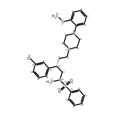 COc1ccccc1N1CCN(CC[C@H](CN(C)S(=O)(=O)c2ccccc2)c2cccc(Cl)c2)CC1